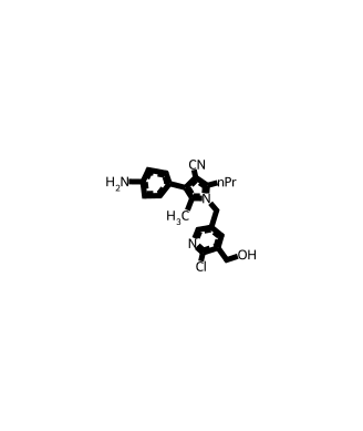 CCCc1c(C#N)c(-c2ccc(N)cc2)c(C)n1Cc1cnc(Cl)c(CO)c1